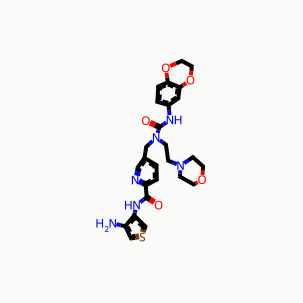 Nc1cscc1NC(=O)c1ccc(CN(CCN2CCOCC2)C(=O)Nc2ccc3c(c2)OCCO3)cn1